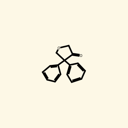 O=C1COCC1(c1ccccc1)c1ccccc1